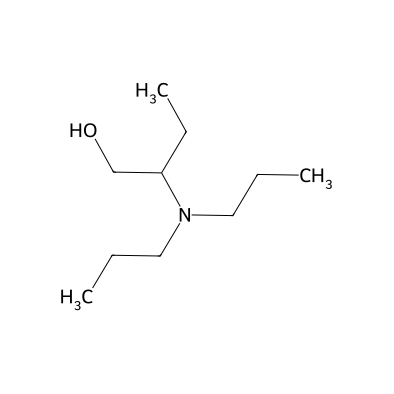 CCCN(CCC)C(CC)CO